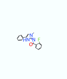 Cn1cc(-c2ccccc2)[nH]/c1=N\C(=O)c1ccccc1F